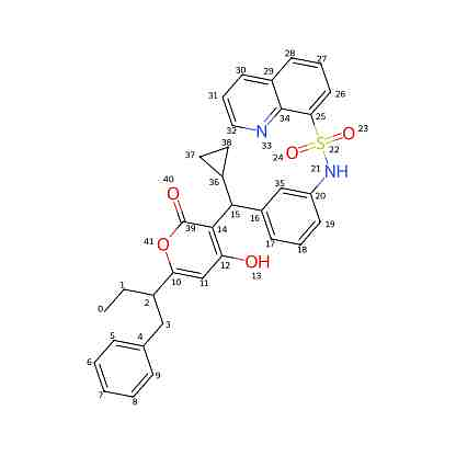 CCC(Cc1ccccc1)c1cc(O)c(C(c2cccc(NS(=O)(=O)c3cccc4cccnc34)c2)C2CC2)c(=O)o1